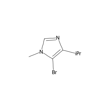 CC(C)c1ncn(C)c1Br